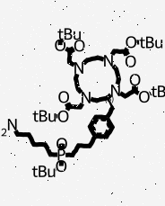 CC(C)(C)OC(=O)CN1CCN(CC(=O)OC(C)(C)C)CCN(CC(=O)OC(C)(C)C)[C@@H](Cc2ccc(CCCP(=O)(CCCCCN)OC(C)(C)C)cc2)CN(CC(=O)OC(C)(C)C)CC1